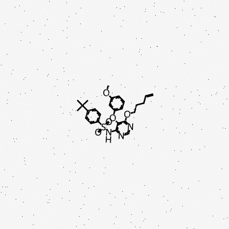 C=CCCCOc1ncnc(NS(=O)(=O)c2ccc(C(C)(C)C)cc2)c1Oc1cccc(OC)c1